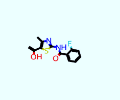 C=C(O)c1sc(NC(=O)c2ccccc2F)nc1C